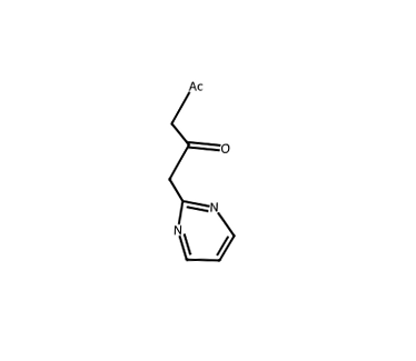 CC(=O)CC(=O)Cc1ncccn1